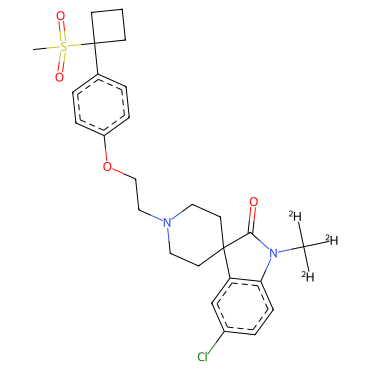 [2H]C([2H])([2H])N1C(=O)C2(CCN(CCOc3ccc(C4(S(C)(=O)=O)CCC4)cc3)CC2)c2cc(Cl)ccc21